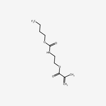 C=C(C)C(=O)OCCNC(=O)OCCCC(F)(F)F